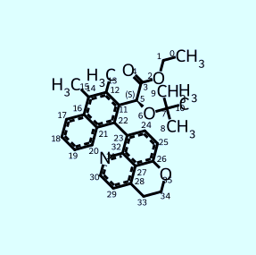 CCOC(=O)[C@@H](OC(C)(C)C)c1c(C)c(C)c2ccccc2c1-c1ccc2c3c(ccnc13)CCO2